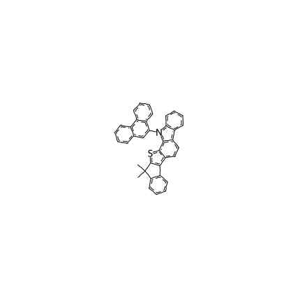 CC1(C)c2ccccc2-c2c1sc1c2ccc2c3ccccc3n(-c3cc4ccccc4c4ccccc34)c21